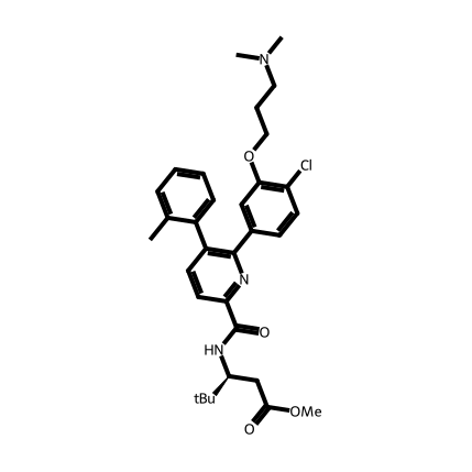 COC(=O)C[C@H](NC(=O)c1ccc(-c2ccccc2C)c(-c2ccc(Cl)c(OCCCN(C)C)c2)n1)C(C)(C)C